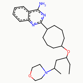 CCC(CC(C)N1CCOCC1)OC1CCCC(c2nc(N)c3ccccc3n2)CCC1